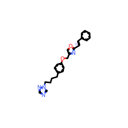 C(=C\c1nc(COc2ccc(CCCCn3cncn3)cc2)co1)/c1ccccc1